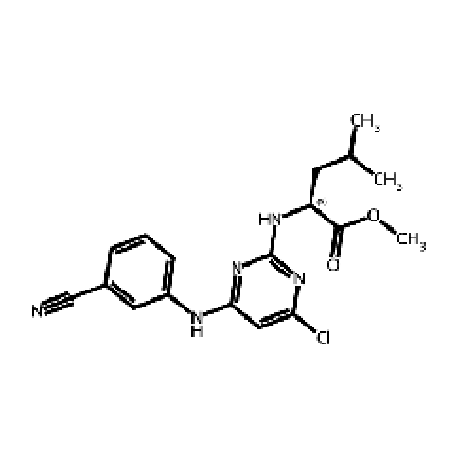 COC(=O)[C@H](CC(C)C)Nc1nc(Cl)cc(Nc2cccc(C#N)c2)n1